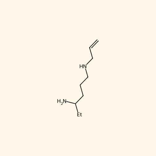 C=CCNCCCC(N)CC